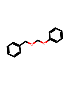 c1ccc(COCOc2ccccc2)cc1